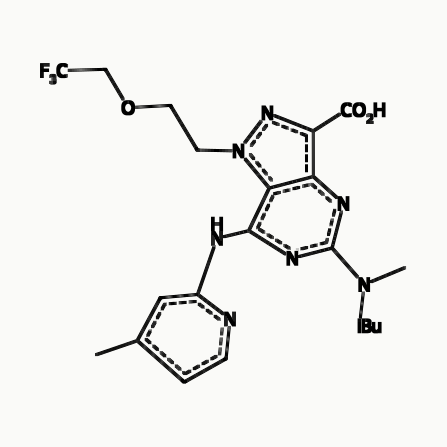 CCC(C)N(C)c1nc(Nc2cc(C)ccn2)c2c(n1)c(C(=O)O)nn2CCOCC(F)(F)F